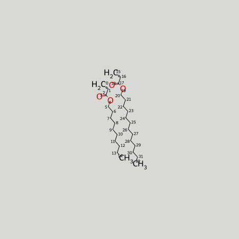 C=CC(=O)OCCCCCCCCCC.C=CC(=O)OCCCCCCCCCCCCC